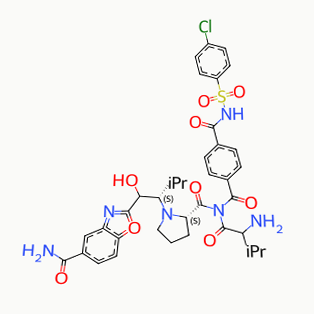 CC(C)C(N)C(=O)N(C(=O)c1ccc(C(=O)NS(=O)(=O)c2ccc(Cl)cc2)cc1)C(=O)[C@@H]1CCCN1[C@@H](C(C)C)C(O)c1nc2cc(C(N)=O)ccc2o1